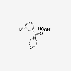 [B+2]c1cccc(C(=O)N2CCOCC2)c1.[OH-].[OH-]